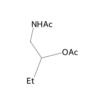 CCC(CNC(C)=O)OC(C)=O